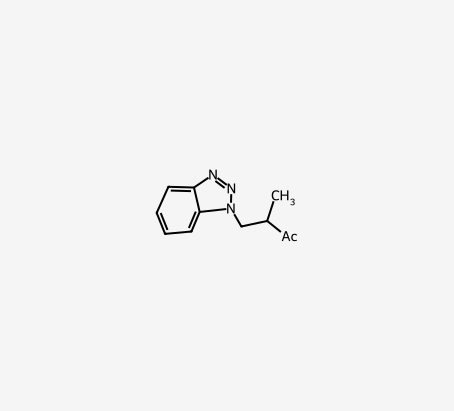 CC(=O)C(C)Cn1nnc2ccccc21